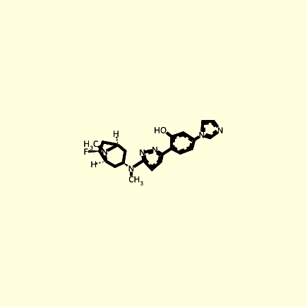 CN(c1ccc(-c2ccc(-n3ccnc3)cc2O)nn1)[C@H]1C[C@@H]2C[C@H](F)[C@H](C1)N2C